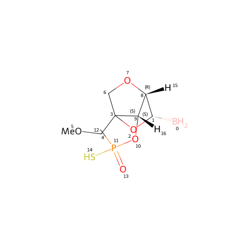 B[C@@H]1OC2(COC)CO[C@H]1[C@@H]2OP(C)(=O)S